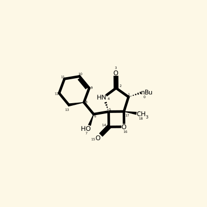 CCCC[C@H]1C(=O)N[C@@]2([C@@H](O)[C@@H]3C=CCCC3)C(=O)O[C@@]12C